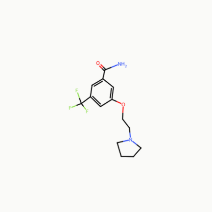 NC(=O)c1cc(OCCN2CCCC2)cc(C(F)(F)F)c1